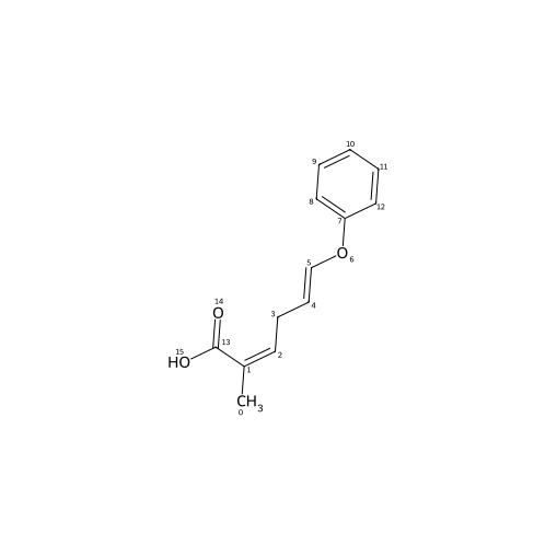 CC(=CCC=COc1ccccc1)C(=O)O